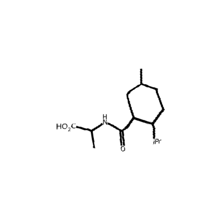 CC1CCC(C(C)C)C(C(=O)NC(C)C(=O)O)C1